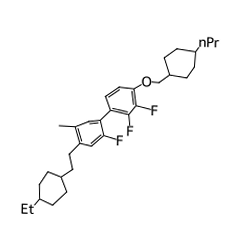 CCCC1CCC(COc2ccc(-c3cc(C)c(CCC4CCC(CC)CC4)cc3F)c(F)c2F)CC1